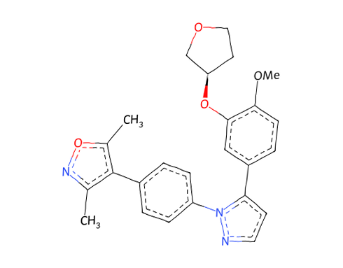 COc1ccc(-c2ccnn2-c2ccc(-c3c(C)noc3C)cc2)cc1O[C@@H]1CCOC1